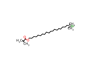 C=C(C)C(=O)OCCCCCCCCCCCCCCCCCCC[Si](C)(C)Br